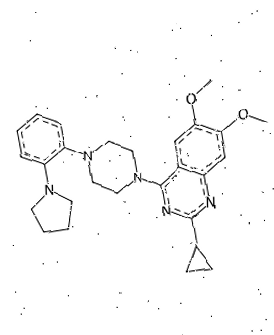 COc1cc2nc(C3CC3)nc(N3CCN(c4ccccc4N4CCCC4)CC3)c2cc1OC